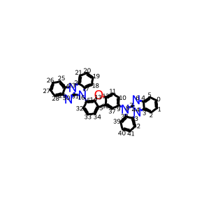 c1ccc2c(c1)nc1n(-c3ccc4oc5c(-n6c7ccccc7n7c8ccccc8nc67)cccc5c4c3)c3ccccc3n21